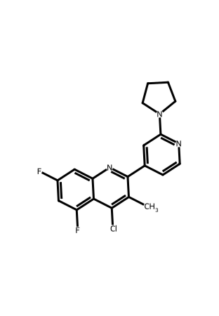 Cc1c(-c2ccnc(N3CCCC3)c2)nc2cc(F)cc(F)c2c1Cl